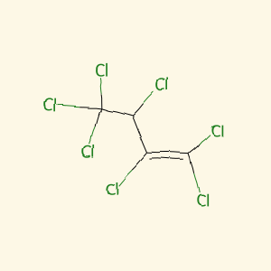 ClC(Cl)=C(Cl)C(Cl)C(Cl)(Cl)Cl